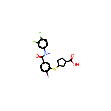 O=C(Nc1ccc(F)c(F)c1)c1ccc(I)c(SC2CCC(C(=O)O)C2)c1